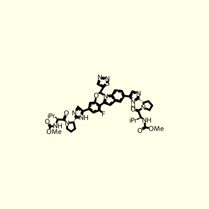 COC(=O)N[C@H](C(=O)N1CCC[C@H]1c1ncc(-c2cc(F)c3c(c2)OC(c2cnns2)n2c-3cc3cc(-c4cnc([C@@H]5CCCN5C(=O)[C@@H](NC(=O)OC)C(C)C)[nH]4)ccc32)[nH]1)C(C)C